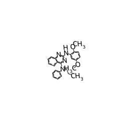 CCCN(c1ccccc1)c1nc(Nc2cc(OC)ccc2OC)nc2ccccc12